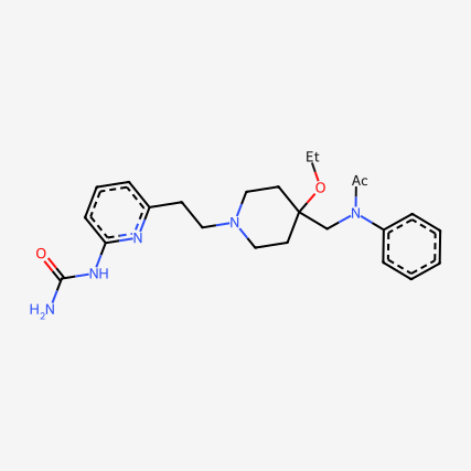 CCOC1(CN(C(C)=O)c2ccccc2)CCN(CCc2cccc(NC(N)=O)n2)CC1